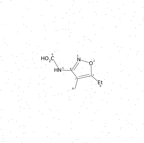 CCc1onc(NC(=O)O)c1C